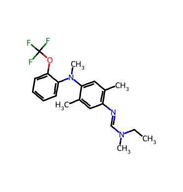 CCN(C)C=Nc1cc(C)c(N(C)c2ccccc2OC(F)(F)F)cc1C